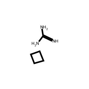 C1CCC1.N=C(N)N